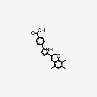 Cc1cc(C)c2c(c1C)OCC(c1ccc(-c3ccc(C(=O)O)cc3)[nH]1)=C2